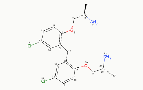 C[C@@H](N)COc1ccc(Cl)cc1Cc1cc(Cl)ccc1OC[C@@H](C)N